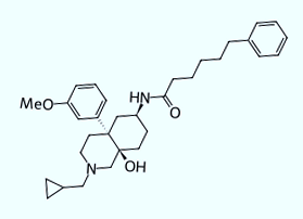 COc1cccc([C@@]23CCN(CC4CC4)C[C@@]2(O)CC[C@H](NC(=O)CCCCCc2ccccc2)C3)c1